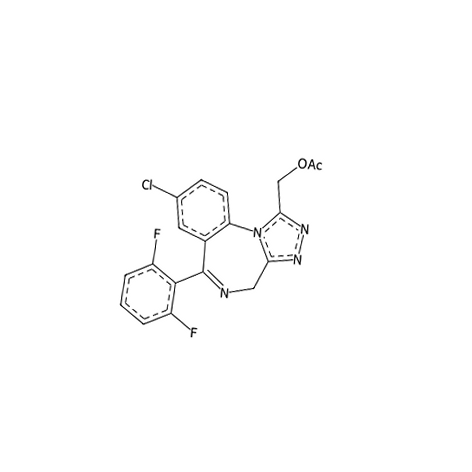 CC(=O)OCc1nnc2n1-c1ccc(Cl)cc1C(c1c(F)cccc1F)=NC2